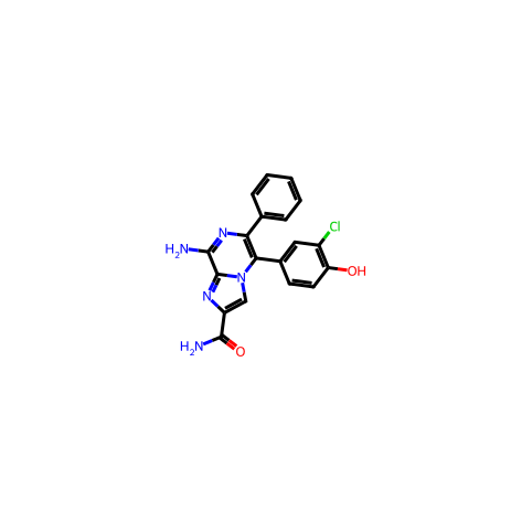 NC(=O)c1cn2c(-c3ccc(O)c(Cl)c3)c(-c3ccccc3)nc(N)c2n1